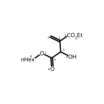 C=C(C(=O)OCC)C(O)C(=O)OCCCCCC